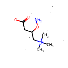 C[N+](C)(C)CC(CC(=O)[O-])ON